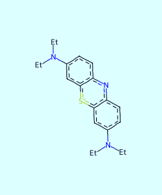 CCN(CC)c1ccc2nc3ccc(N(CC)CC)cc3[s+]c2c1